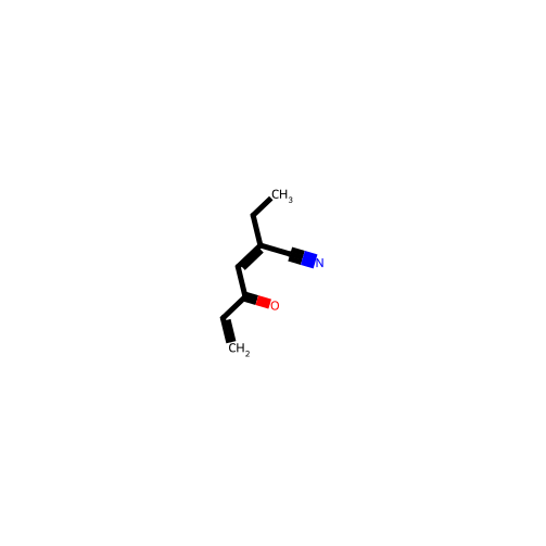 C=CC(=O)C=C(C#N)CC